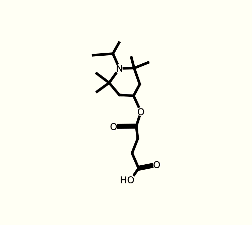 CC(C)N1C(C)(C)CC(OC(=O)CCC(=O)O)CC1(C)C